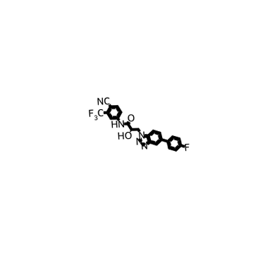 N#Cc1ccc(NC(=O)[C@@H](O)Cn2nnc3cc(-c4ccc(F)cc4)ccc32)cc1C(F)(F)F